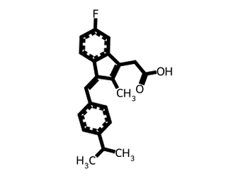 CC1=C(CC(=O)O)c2cc(F)ccc2/C1=C/c1ccc(C(C)C)cc1